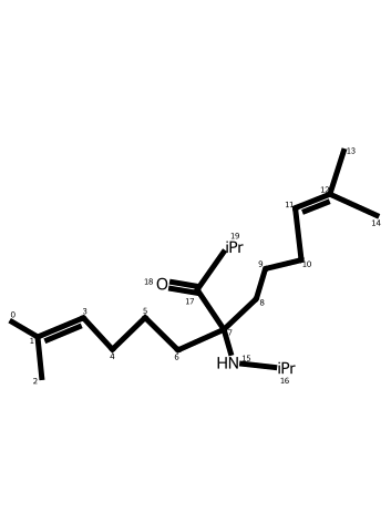 CC(C)=CCCCC(CCCC=C(C)C)(NC(C)C)C(=O)C(C)C